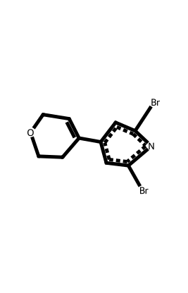 Brc1cc(C2=CCOCC2)cc(Br)n1